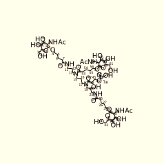 CC(=O)NC1[C@H](OCCCCC(=O)NCCCN(CCCN(CCCNC(=O)CCCCO[C@@H]2OC(CO)[C@H](O)[C@H](O)C2NC(C)=O)C(=O)C(O)COP(C)(=O)O)C(=O)CCCCO[C@@H]2OC(CO)[C@H](O)[C@H](O)C2NC(C)=O)OC(CO)[C@H](O)[C@@H]1O